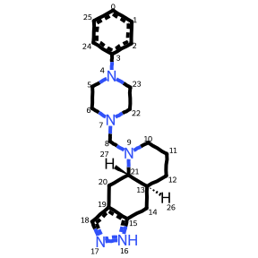 c1ccc(N2CCN(CN3CCC[C@H]4Cc5[nH]ncc5C[C@@H]43)CC2)cc1